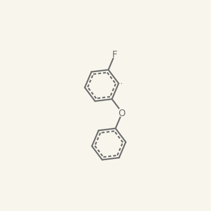 Fc1[c]c(Oc2ccccc2)ccc1